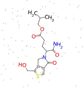 CC(C)COC(=O)CCC(C(N)=O)N1Cc2c(csc2CO)C1=O